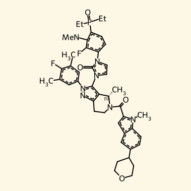 CCP(=O)(CC)c1ccc(-n2ccn(-c3c4c(nn3-c3cc(C)c(F)c(C)c3)CCN(C(=O)c3cc5cc(C6CCOCC6)ccc5n3C)[C@H]4C)c2=O)c(F)c1NC